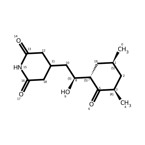 C[C@H]1C[C@@H](C)C(=O)[C@H]([C@@H](O)CC2CC(=O)NC(=O)C2)C1